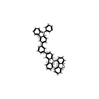 c1ccc(-n2c3ccccc3c3cc(-c4cccc(-c5ccc6c(c5)c5ccccc5n6-c5cccc6oc7ccccc7c56)c4)ccc32)cc1